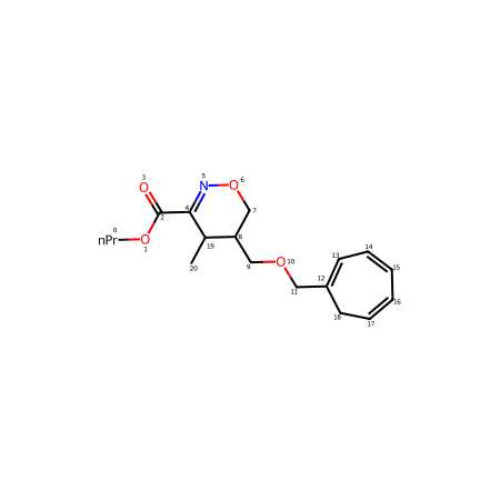 CCCOC(=O)C1=NOCC(COCC2=CC=CC=CC2)C1C